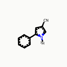 [2H]n1cc(C#N)cc1-c1ccccc1